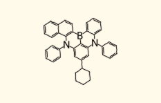 c1ccc(N2c3ccccc3B3c4ccc5ccccc5c4N(c4ccccc4)c4cc(C5CCCCC5)cc2c43)cc1